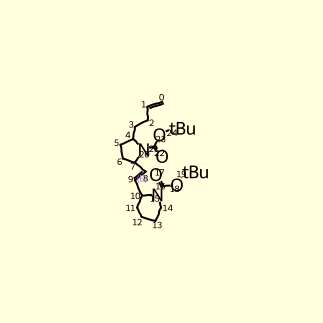 C=CCCC1CCC(/C=C/C2CCCCN2C(=O)OC(C)(C)C)N1C(=O)OC(C)(C)C